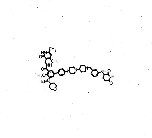 CCN(c1cc(-c2ccc(N3CCN(C4CCN(Cc5cccc(NC6CCC(=O)NC6=O)c5)CC4)CC3)cc2)cc(C(=O)NCc2c(C)cc(C)[nH]c2=O)c1C)C1CCOCC1